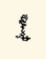 CCNC(=O)NCCCN1CCN(c2ccccc2)C(C)C1